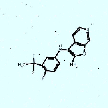 CC(F)(F)c1cc(Nc2c(N)oc3cnccc23)ccc1F